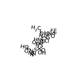 C=CCON=C(C(=O)NC1C(=O)N2CC(CSc3nnnn3CC(=O)O)(C(=O)O)CS[C@H]12)c1nc(NC(=O)C(F)(F)F)sc1Cl